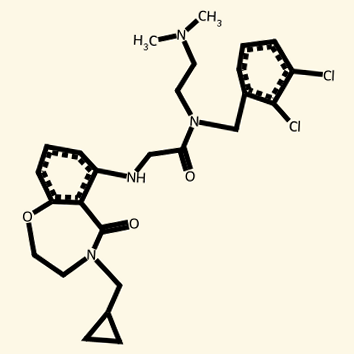 CN(C)CCN(Cc1cccc(Cl)c1Cl)C(=O)CNc1cccc2c1C(=O)N(CC1CC1)CCO2